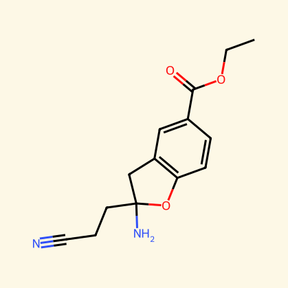 CCOC(=O)c1ccc2c(c1)CC(N)(CCC#N)O2